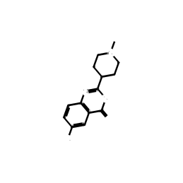 CN1CCC(c2nc3ccc(Br)cc3c(=O)[nH]2)CC1